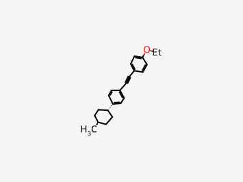 CCOc1ccc(C#Cc2ccc([C@H]3CC[C@H](C)CC3)cc2)cc1